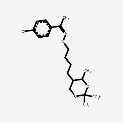 CC(=NOCCCCC1COC(C)(C(=O)O)OC1C)c1ccc(Cl)cc1